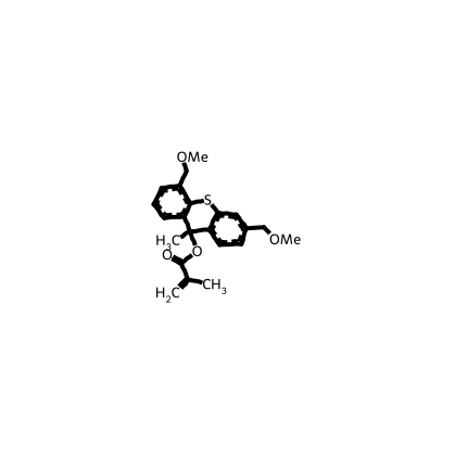 C=C(C)C(=O)OC1(C)c2ccc(COC)cc2Sc2c(COC)cccc21